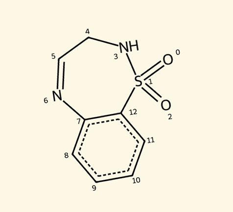 O=S1(=O)NCC=Nc2ccccc21